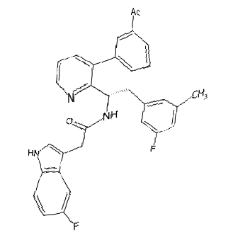 CC(=O)c1cccc(-c2cccnc2[C@H](Cc2cc(C)cc(F)c2)NC(=O)Cc2c[nH]c3ccc(F)cc23)c1